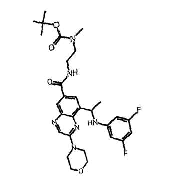 CC(Nc1cc(F)cc(F)c1)c1cc(C(=O)NCCN(C)C(=O)OC(C)(C)C)cc2ncc(N3CCOCC3)nc12